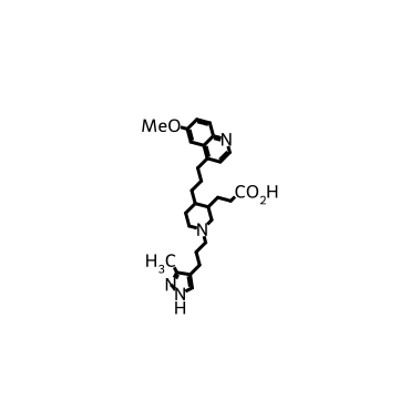 COc1ccc2nccc(CCCC3CCN(CCCc4c[nH]nc4C)CC3CCC(=O)O)c2c1